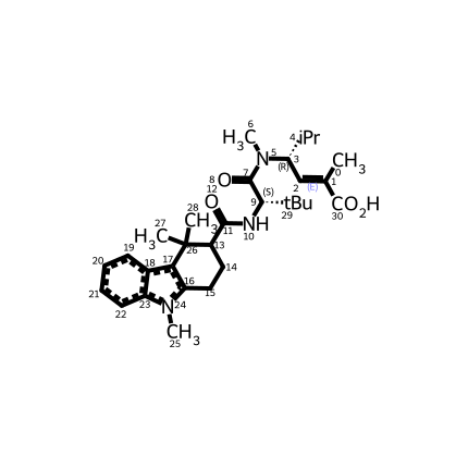 C/C(=C\[C@@H](C(C)C)N(C)C(=O)[C@@H](NC(=O)C1CCc2c(c3ccccc3n2C)C1(C)C)C(C)(C)C)C(=O)O